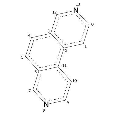 c1cc2c(ccc3cnccc32)cn1